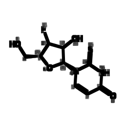 O=c1ccn([C@H]2O[C@@H](CO)C(F)C2O)c(=S)[nH]1